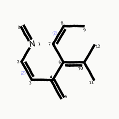 C=N/C=C\C(=C)C(/C=C\C)=C(C)C